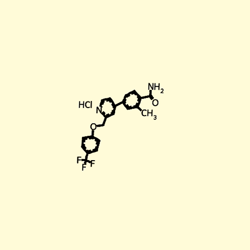 Cc1cc(-c2ccnc(COc3ccc(C(F)(F)F)cc3)c2)ccc1C(N)=O.Cl